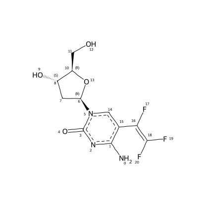 Nc1nc(=O)n([C@H]2C[C@H](O)[C@@H](CO)O2)cc1C(F)=C(F)F